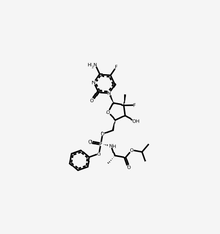 CC(C)OC(=O)[C@H](C)N[P@](=O)(OC[C@H]1O[C@@H](n2cc(F)c(N)nc2=O)[C@](C)(F)C1O)Oc1ccccc1